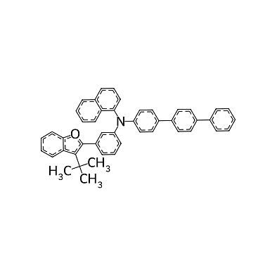 CC(C)(C)c1c(-c2cccc(N(c3ccc(-c4ccc(-c5ccccc5)cc4)cc3)c3cccc4ccccc34)c2)oc2ccccc12